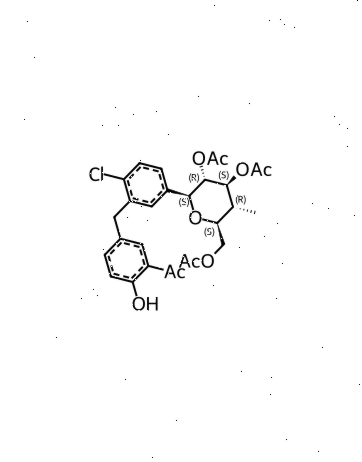 CC(=O)OC[C@H]1O[C@@H](c2ccc(Cl)c(Cc3ccc(O)c(C(C)=O)c3)c2)[C@H](OC(C)=O)[C@@H](OC(C)=O)[C@@H]1C